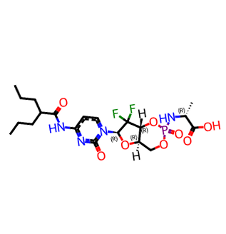 CCCC(CCC)C(=O)Nc1ccn([C@@H]2O[C@@H]3COP(=O)(N[C@H](C)C(=O)O)O[C@H]3C2(F)F)c(=O)n1